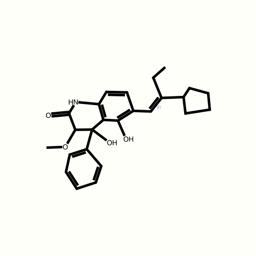 CC/C(=C\c1ccc2c(c1O)C(O)(c1ccccc1)C(OC)C(=O)N2)C1CCCC1